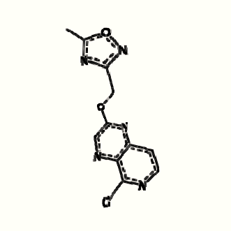 Cc1nc(COc2cnc3c(Cl)nccc3n2)no1